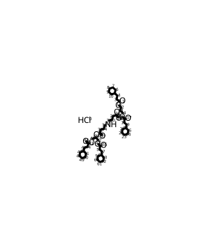 Cl.O=C(CCC1CCCCC1)OCC(COC(=O)CCC1CCCCC1)OC(=O)CCCNCCCC(=O)OC(COC(=O)CCC1CCCCC1)COC(=O)CCC1CCCCC1